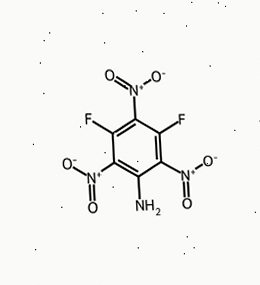 Nc1c([N+](=O)[O-])c(F)c([N+](=O)[O-])c(F)c1[N+](=O)[O-]